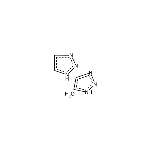 O.c1c[nH]nn1.c1c[nH]nn1